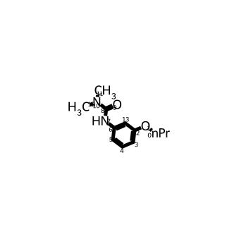 CCCOc1cccc(NC(=O)N(C)C)c1